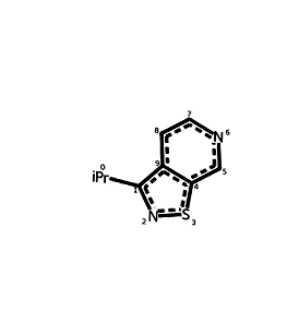 CC(C)c1nsc2cnccc12